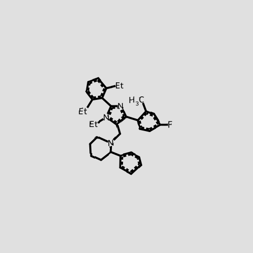 CCc1cccc(CC)c1-c1nc(-c2ccc(F)cc2C)c(CN2CCCCC2c2ccccc2)n1CC